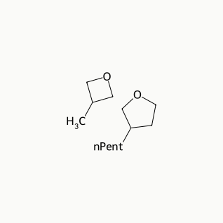 CC1COC1.CCCCCC1CCOC1